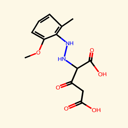 COc1cccc(C)c1NNC(C(=O)O)C(=O)CC(=O)O